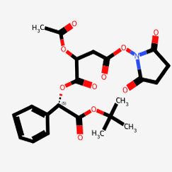 CC(=O)OC(CC(=O)ON1C(=O)CCC1=O)C(=O)O[C@H](C(=O)OC(C)(C)C)c1ccccc1